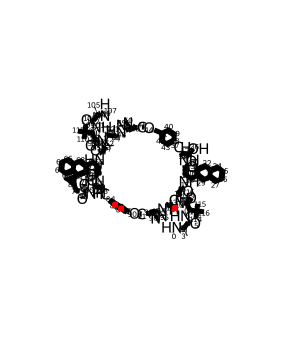 CN[C@@H](C)C(=O)N[C@H](C(=O)N1C[C@@H]2C[C@H]1C(=O)N[C@@H](Cc1ccc3ccccc3c1)C(=O)N[C@H](C(=O)O)Cc1ccc(cc1)OCc1cn(nn1)[C@H]1C[C@@H](C(=O)N[C@@H](Cc3ccc4ccccc4c3)C(=O)N[C@H](C(=O)NS(=O)(=O)CC3CC3)Cc3ccc(cc3)OCc3cn2nn3)N(C(=O)[C@@H](NC(=O)[C@H](C)NC)C(C)(C)C)C1)C(C)(C)C